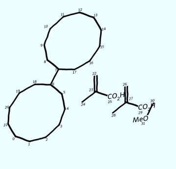 C1CCCCCC(C2CCCCCCCCCC2)CCCC1.C=C(C)C(=O)O.C=C(C)C(=O)O.COC